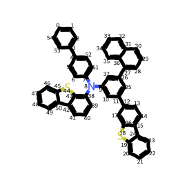 c1ccc(-c2ccc(N(c3cc(-c4ccc5c(c4)sc4ccccc45)cc(-c4cccc5ccccc45)c3)c3cccc4c3sc3ccccc34)cc2)cc1